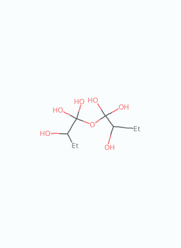 CCC(O)C(O)(O)OC(O)(O)C(O)CC